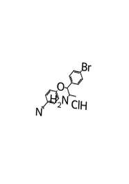 CC(N)C(Oc1ccc(C#N)cc1)c1ccc(Br)cc1.Cl